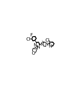 C[C@@H]1CN(c2ncccc2Cl)CCN1c1cc(-c2ccc(F)c(Cl)c2)nc(N2CCOCC2)n1